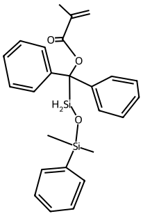 C=C(C)C(=O)OC([SiH2]O[Si](C)(C)c1ccccc1)(c1ccccc1)c1ccccc1